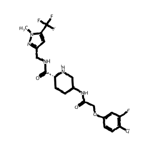 Cn1nc(CNC(=O)[C@H]2CCC(NC(=O)COc3ccc(Cl)c(F)c3)CN2)cc1C(F)(F)F